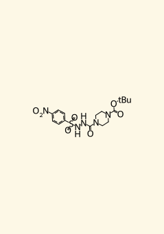 CC(C)(C)OC(=O)N1CCN(C(=O)NNS(=O)(=O)c2ccc([N+](=O)[O-])cc2)CC1